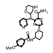 COc1ccc(C(=O)NC2CCCN(c3cnc(C(N)=O)c(N(c4cccnc4)C4CNCCO4)n3)C2)cc1